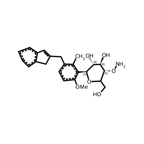 COc1ccc(CC2=Cc3ccccc3C2)c(C)c1[C@@H]1OC(CO)[C@@H](ON)[C@H](O)[C@H]1O